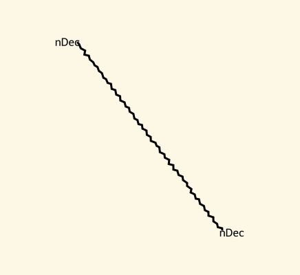 CCCCCCCCCCCCCCCCCCCCCCCCCCCCCCCCCCCCCCCCCCCCCCCCCCCCCCCCCCCCCCCCCCCCCCCCCCCCCCCCCCCCC